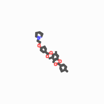 Cc1ccc(C(=O)Oc2cc(C)c(OC(=O)c3ccc(OCC[n+]4ccccc4)cc3)c(C)c2C)cc1